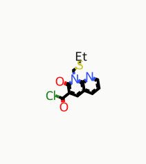 CCSCn1c(=O)c(C(=O)Cl)cc2cccnc21